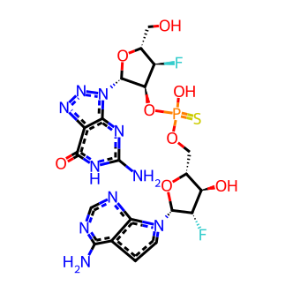 Nc1nc2c(nnn2[C@@H]2O[C@H](CO)[C@@H](F)[C@H]2OP(O)(=S)OC[C@H]2O[C@@H](n3ccc4c(N)ncnc43)[C@@H](F)[C@@H]2O)c(=O)[nH]1